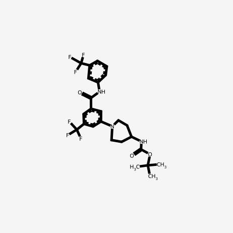 CC(C)(C)OC(=O)NC1CCN(c2cc(C(=O)Nc3cccc(C(F)(F)F)c3)cc(C(F)(F)F)c2)CC1